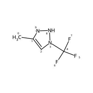 CC1=CN(C(F)(F)F)N[N]1